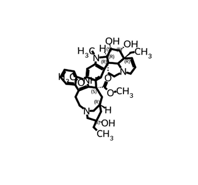 CC[C@]1(O)C[C@@H]2CN(CCc3c([nH]c4ccccc34)[C@@](C(=O)OC)(c3cc4c(cc3OC)N(C)[C@H]3[C@H](O)[C@H](O)[C@]5(CC)C=CCN6CC[C@]43C65)C2)C1